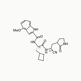 COc1cccc2[nH]c(C(=O)N[C@@H](CC3CCC3)C(=O)N[C@H](C#N)CC3CCNC3=O)cc12